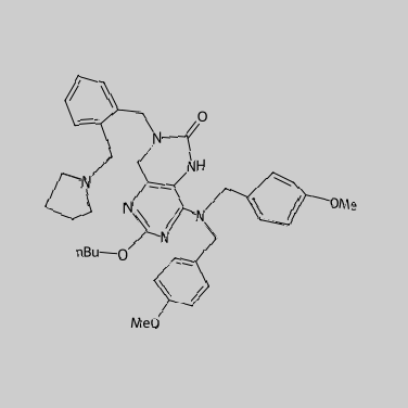 CCCCOc1nc2c(c(N(Cc3ccc(OC)cc3)Cc3ccc(OC)cc3)n1)NC(=O)N(Cc1ccccc1CN1CCCC1)C2